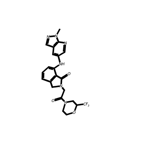 Cn1ncc2cc(Nc3cccc4c3C(=O)N(CC(=O)N3CCOC(C(F)(F)F)C3)C4)cnc21